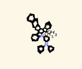 CC1(C)c2ccccc2-c2c3c(c4c5ccccc5n(-c5cccc(N(c6ccccc6)c6ccccc6)c5)c4c21)Cc1cc2ccccc2cc1C3